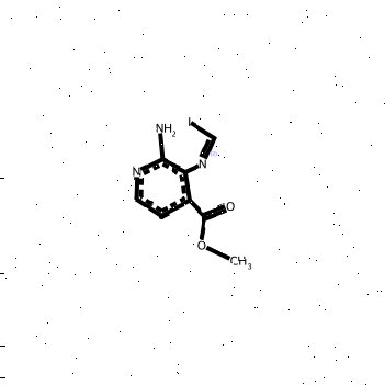 COC(=O)c1ccnc(N)c1/N=C\I